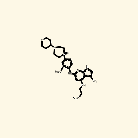 COCCNc1cc(Nc2ccc(P3(=O)CCN(C4CCOCC4)CC3)cc2OC)nc2[nH]cc(C(F)(F)F)c12